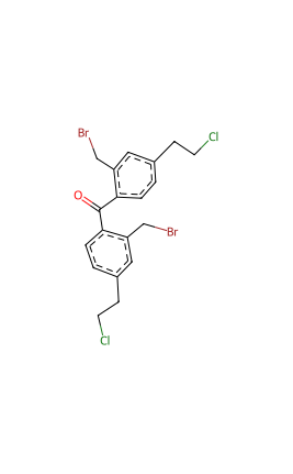 O=C(c1ccc(CCCl)cc1CBr)c1ccc(CCCl)cc1CBr